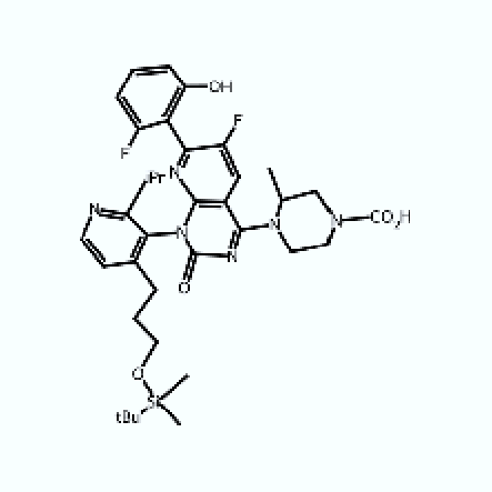 CC(C)c1nccc(CCCO[Si](C)(C)C(C)(C)C)c1-n1c(=O)nc(N2CCN(C(=O)O)CC2C)c2cc(F)c(-c3c(O)cccc3F)nc21